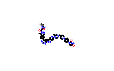 Cc1cc(-c2ncnc3[nH]c(-c4ccc(N5CCN(CC6CCN(c7ccc(N8CCC(=O)NC8=O)cc7)CC6)CC5C)nc4)cc23)ccc1[C@@H](C)NC(=O)c1nc(C(C)(C)C)no1